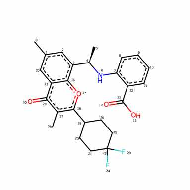 Cc1cc([C@@H](C)Nc2ccccc2C(=O)O)c2oc(C3CCC(F)(F)CC3)c(C)c(=O)c2c1